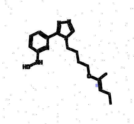 CC/C=C(\C)OCCCCn1cnnc1-c1cccc(NO)n1